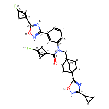 O=C(N(CC12CCC(c3nc(C4CC4)no3)(CC1)CC2)c1cccc(-c2noc(C34CC(F)(C3)C4)n2)c1)C12CC(F)(C1)C2